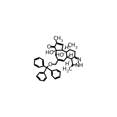 C=C1NN=C2C[C@@H](C)[C@@]3(O)[C@@H](C=C(COC(c4ccccc4)(c4ccccc4)c4ccccc4)C[C@]4(O)C(=O)C(C)=C[C@@H]34)[C@H]12